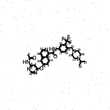 CC(=O)Nc1cc(Oc2ccc3c(C(=O)Nc4ccc(CN5CCN(C(C)C)CC5)c(C(F)(F)F)c4)nccc3c2)ncn1